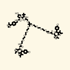 Cc1ncsc1-c1ccc(CNC(=O)[C@@H]2C[C@@H](O)CN2C(=O)[C@@H](NC(=O)COCC(C)(COCCOCCOCCOCCNC(=O)C[C@@H]2N=C(c3ccc(Cl)cc3)c3c(sc(C)c3C)-n3c(C)nnc32)COCCOCCOCCOCCNC(=O)C[C@@H]2N=C(c3ccc(Cl)cc3)c3c(sc(C)c3C)-n3c(C)nnc32)C(C)(C)C)cc1